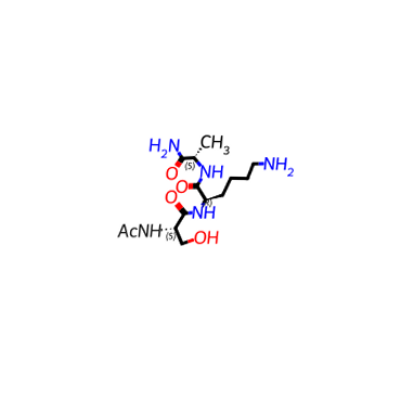 CC(=O)N[C@@H](CO)C(=O)N[C@H](CCCCN)C(=O)N[C@@H](C)C(N)=O